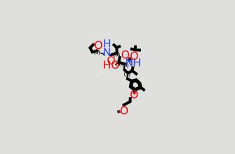 COCCCOc1cc(C[C@@H](C[C@H](NC(=O)OC(C)(C)C)[C@@H](O)C[C@H](C(=O)NC[C@@H]2CCCO2)C(C)C)C(C)C)ccc1C